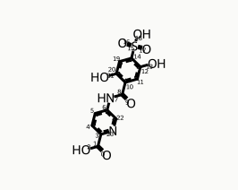 O=C(O)c1ccc(NC(=O)c2cc(O)c(S(=O)(=O)O)cc2O)cn1